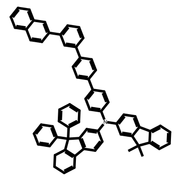 CC1(C)c2ccccc2-c2ccc(N(c3ccc(-c4ccc(-c5cccc(-c6ccc7ccccc7c6)c5)cc4)cc3)c3ccc4c(c3)C(c3ccccc3)(c3ccccc3)C3=C4C=CCC3)cc21